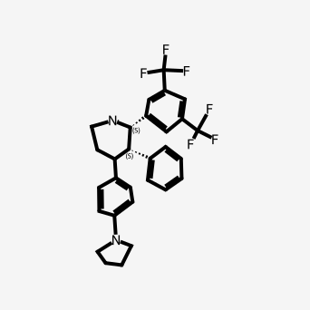 FC(F)(F)c1cc([C@H]2[N]CCC(c3ccc(N4CCCC4)cc3)[C@H]2c2ccccc2)cc(C(F)(F)F)c1